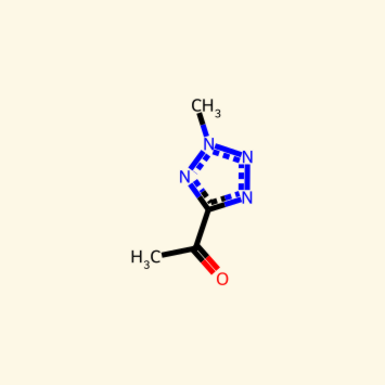 CC(=O)c1nnn(C)n1